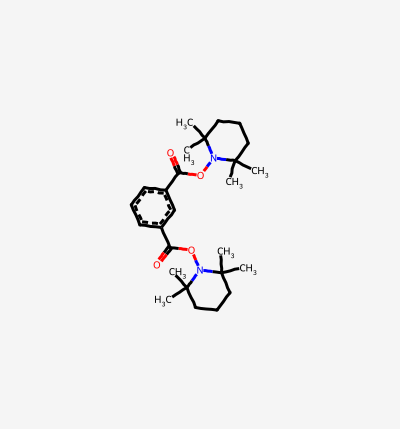 CC1(C)CCCC(C)(C)N1OC(=O)c1cccc(C(=O)ON2C(C)(C)CCCC2(C)C)c1